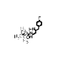 CC(C)(C)OC(=O)N/C=C\C(=N)Cc1ccc(F)cc1